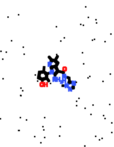 Cc1cc2c(C(=O)NCc3ncnn3C)c(N)n(-c3c(C)ccc(O)c3C)c2nc1C